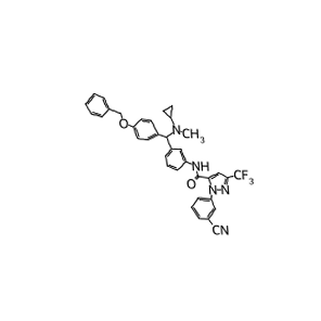 CN(C1CC1)C(c1ccc(OCc2ccccc2)cc1)c1cccc(NC(=O)c2cc(C(F)(F)F)nn2-c2cccc(C#N)c2)c1